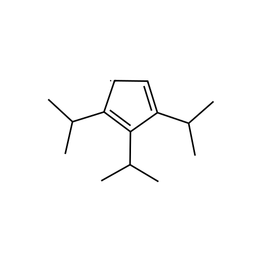 CC(C)C1=C[CH]C(C(C)C)=C1C(C)C